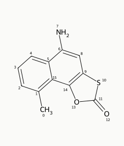 Cc1cccc2c(N)cc3sc(=O)oc3c12